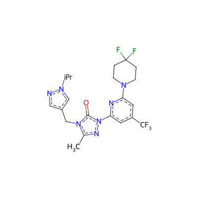 Cc1nn(-c2cc(C(F)(F)F)cc(N3CCC(F)(F)CC3)n2)c(=O)n1Cc1cnn(C(C)C)c1